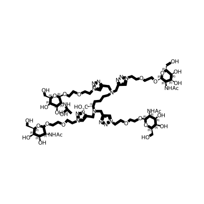 CC(=O)N[C@H]1[C@H](OCCOCCn2cc(CN(CCCC[C@@H](C(=O)O)N(Cc3cn(CCOCCOC4O[C@H](CO)[C@H](O)[C@H](O)[C@H]4NC(C)=O)nn3)Cc3cn(CCOCCO[C@@H]4O[C@H](CO)[C@H](O)[C@H](O)[C@H]4NC(C)=O)nn3)Cc3cn(CCOCCO[C@@H]4O[C@H](CO)[C@H](O)[C@H](O)[C@H]4NC(C)O)nn3)nn2)O[C@H](CO)[C@H](O)[C@@H]1O